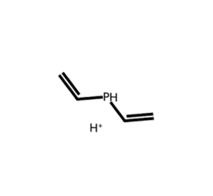 C=CPC=C.[H+]